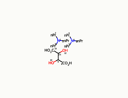 CCCN(CCC)CCC.CCCN(CCC)CCC.O=C(O)C(O)C(O)C(=O)O